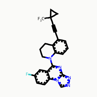 Fc1ccc2c(c1)c(N1CCCc3c(C#CC4(C(F)(F)F)CC4)cccc31)nc1nncn12